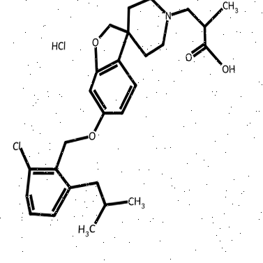 CC(C)Cc1cccc(Cl)c1COc1ccc2c(c1)OCC21CCN(CC(C)C(=O)O)CC1.Cl